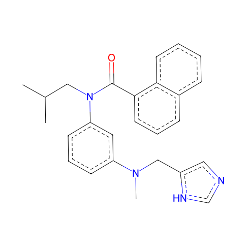 CC(C)CN(C(=O)c1cccc2ccccc12)c1cccc(N(C)Cc2cnc[nH]2)c1